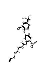 C=CCSCCOC(=O)Cc1cc(Oc2ccc(C(F)(F)F)cc2Cl)ccc1[N+](=O)[O-]